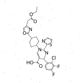 CCOC(=O)Cc1coc(C2CCC(N3C=C(C(=O)O)C(c4ccc(F)c(F)c4Cl)N=C3c3nccs3)CC2)n1